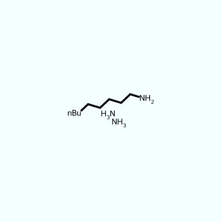 CCCCCCCCCN.N.N